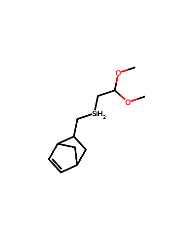 COC(C[SiH2]CC1CC2C=CC1C2)OC